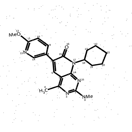 CNc1nc(C)c2cc(-c3ccc(OC)nc3)c(=O)n(C3CCCCC3)c2n1